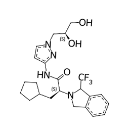 O=C(Nc1ccn(C[C@H](O)CO)n1)[C@H](CC1CCCC1)N1Cc2ccccc2C1C(F)(F)F